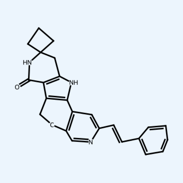 O=C1NC2(CCC2)Cc2[nH]c3c(c21)CCc1cnc(/C=C/c2ccccc2)cc1-3